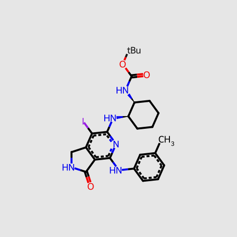 Cc1cccc(Nc2nc(N[C@@H]3CCCC[C@@H]3NC(=O)OC(C)(C)C)c(I)c3c2C(=O)NC3)c1